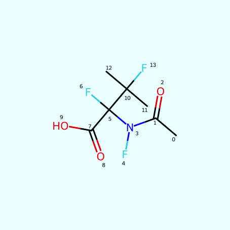 CC(=O)N(F)C(F)(C(=O)O)C(C)(C)F